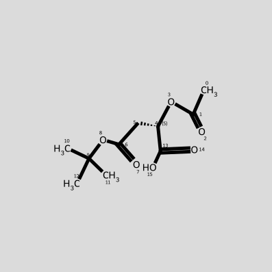 CC(=O)O[C@@H](CC(=O)OC(C)(C)C)C(=O)O